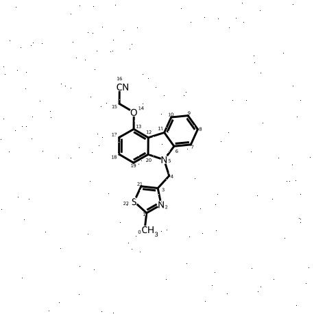 Cc1nc(Cn2c3ccccc3c3c(OCC#N)cccc32)cs1